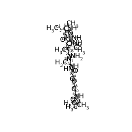 CCCc1cc(C)[nH]c(=O)c1CNC(=O)c1cc(/C(C)=C/C=C(\N)N(CC)CCNNC(=O)CCOOCCOCCNC(=O)OC(C)(C)C)cc(NC(C)C)c1C=N